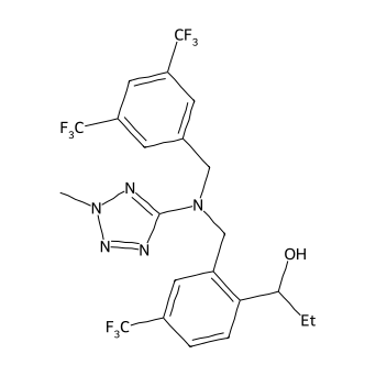 CCC(O)c1ccc(C(F)(F)F)cc1CN(Cc1cc(C(F)(F)F)cc(C(F)(F)F)c1)c1nnn(C)n1